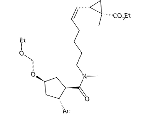 CCOCO[C@@H]1C[C@@H](C(C)=O)[C@H](C(=O)N(C)CCCC/C=C\[C@@H]2C[C@]2(C)C(=O)OCC)C1